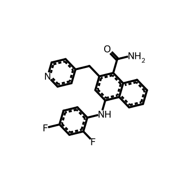 NC(=O)c1c(Cc2ccncc2)cc(Nc2ccc(F)cc2F)c2ccccc12